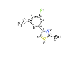 CC(C)(C)c1nc(-c2cc(F)cc(C(F)(F)F)c2)cs1